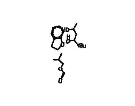 CC(C)COC=O.CC(O)CC(O)C(C)(C)C.c1ccc2c(c1)CCO2